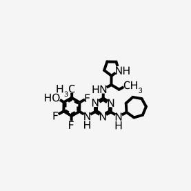 CCC(Nc1nc(Nc2c(F)c(C)c(O)c(F)c2F)nc(NC2CCCCCC2)n1)C1CCCN1